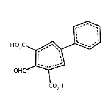 O=Cc1c(C(=O)O)cc(-c2ccccc2)cc1C(=O)O